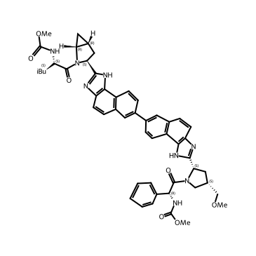 CC[C@H](C)[C@H](NC(=O)OC)C(=O)N1[C@@H]2C[C@@H]2C[C@H]1c1nc2ccc3cc(-c4ccc5c(ccc6nc([C@@H]7C[C@H](COC)CN7C(=O)[C@H](NC(=O)OC)c7ccccc7)[nH]c65)c4)ccc3c2[nH]1